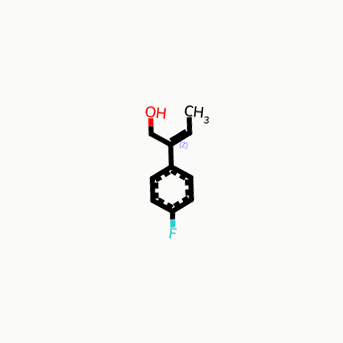 C/C=C(\CO)c1ccc(F)cc1